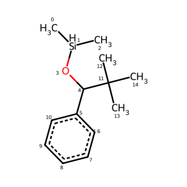 C[SiH](C)OC(c1[c]cccc1)C(C)(C)C